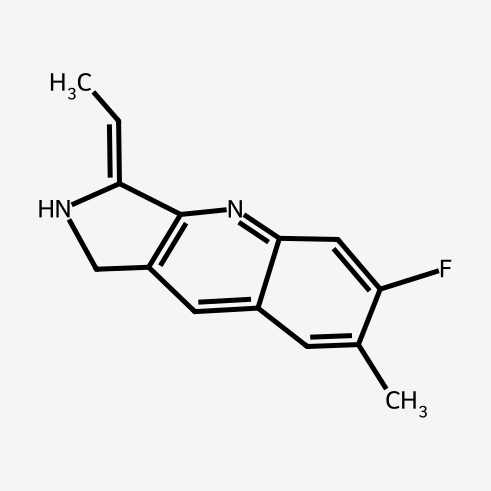 C/C=C1\NCc2cc3cc(C)c(F)cc3nc21